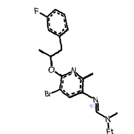 CCN(C)/C=N/c1cc(Br)c(OC(C)Cc2cccc(F)c2)nc1C